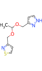 C[C](OCc1cc[nH]n1)OCc1ccsn1